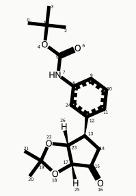 CC(C)(C)OC(=O)Nc1cccc([C@H]2CC(=O)[C@@H]3OC(C)(C)O[C@H]23)c1